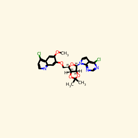 COc1cc2c(Cl)ccnc2cc1OC[C@H]1O[C@@H](n2ccc3c(Cl)ncnc32)[C@@H]2OC(C)(C)O[C@@H]21